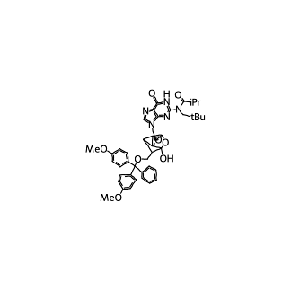 COc1ccc(C(OCC2C3C4C5OC2(O)C43OC5n2cnc3c(=O)[nH]c(N(CC(C)(C)C)C(=O)C(C)C)nc32)(c2ccccc2)c2ccc(OC)cc2)cc1